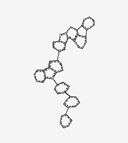 c1ccc(-c2cccc(-c3ccc(-n4c5ccccc5c5cc(-c6ccc7oc8cc9c%10c(cccc%10c8c7c6)-c6ccccc6-9)ccc54)cc3)c2)cc1